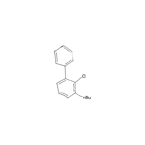 CCCCc1cccc(-c2ccccc2)c1Cl